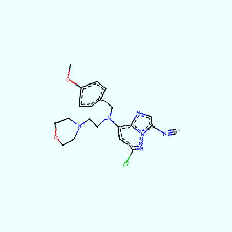 [C-]#[N+]c1cnc2c(N(CCN3CCOCC3)Cc3ccc(OC)cc3)cc(Cl)nn12